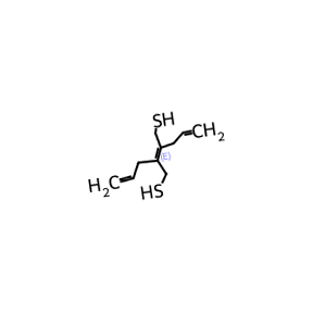 C=CC/C(CS)=C(\CS)CC=C